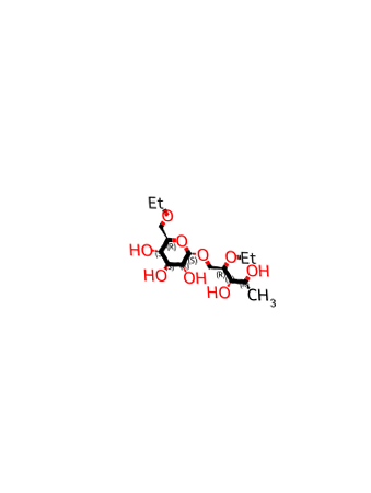 CCOC[C@H]1O[C@H](OC[C@@H](OCC)[C@@H](O)[C@@H](C)O)[C@H](O)[C@@H](O)[C@@H]1O